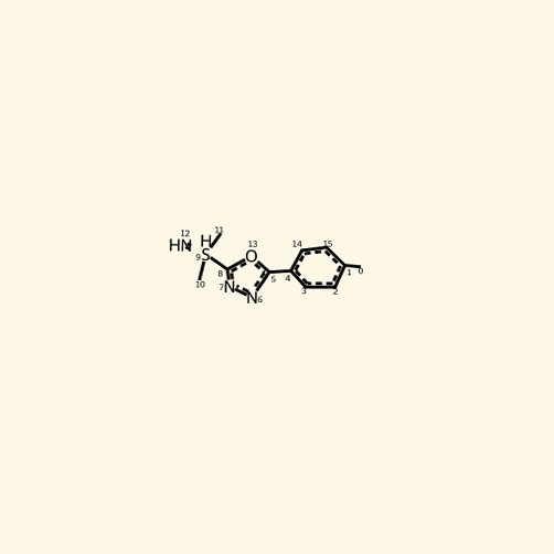 Cc1ccc(-c2nnc([SH](C)(C)=N)o2)cc1